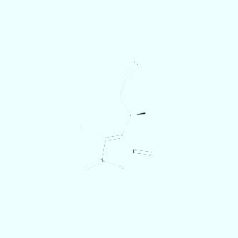 C[C@H](CC#N)C1=C(O)C(=O)NC1=O